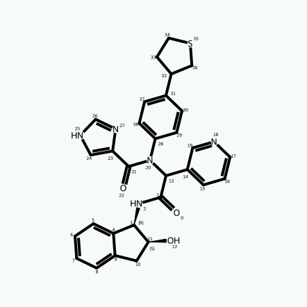 O=C(N[C@@H]1c2ccccc2C[C@@H]1O)C(c1cccnc1)N(C(=O)c1c[nH]cn1)c1ccc(C2CCSC2)cc1